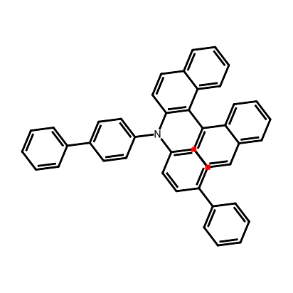 c1ccc(-c2ccc(N(c3ccc(-c4ccccc4)cc3)c3ccc4ccccc4c3-c3cccc4ccccc34)cc2)cc1